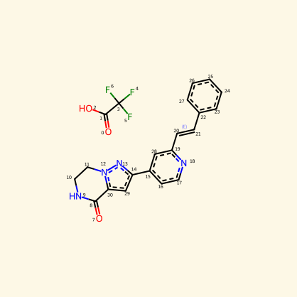 O=C(O)C(F)(F)F.O=C1NCCn2nc(-c3ccnc(/C=C/c4ccccc4)c3)cc21